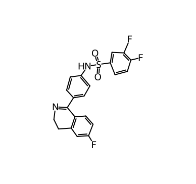 O=S(=O)(Nc1ccc(C2=NCCc3cc(F)ccc32)cc1)c1ccc(F)c(F)c1